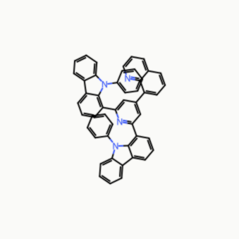 c1ccc(-n2c3ccccc3c3cccc(-c4cc(-c5cccc6cccnc56)cc(-c5cccc6c7ccccc7n(-c7ccccc7)c56)n4)c32)cc1